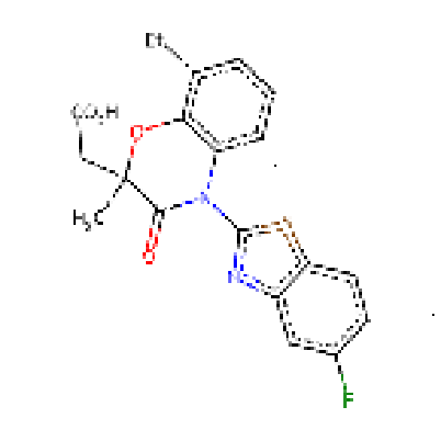 CCc1cccc2c1OC(C)(CC(=O)O)C(=O)N2c1nc2cc(F)ccc2s1